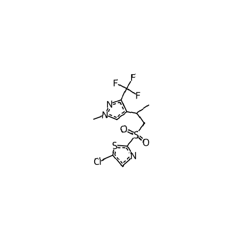 CC(CS(=O)(=O)c1ncc(Cl)s1)c1cn(C)nc1C(F)(F)F